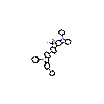 CC1(C)c2cc(-c3ccc4c(c3)c3cc(-c5ccccc5)ccc3n4-c3ccccc3)ccc2-c2cc3c4ccccc4n(-c4ccccc4)c3cc21